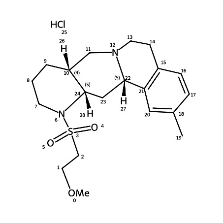 COCCS(=O)(=O)N1CCC[C@@H]2CN3CCc4ccc(C)cc4[C@@H]3C[C@@H]21.Cl